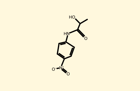 CC(O)C(=O)Nc1ccc([N+](=O)[O-])cc1